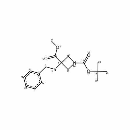 COC(=O)C1(SCc2ccccc2)CN(C(=O)OC(C)(C)C)C1